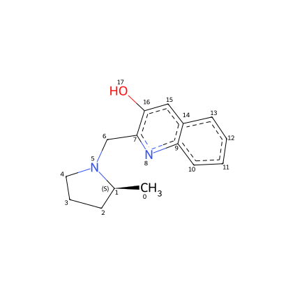 C[C@H]1CCCN1Cc1nc2ccccc2cc1O